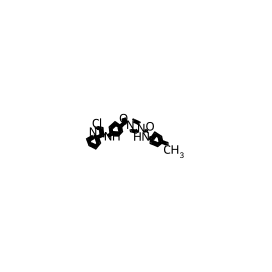 CCc1ccc(NC(=O)N2CCN(C(=O)c3ccc(Nc4cc(Cl)nc5ccccc45)cc3)CC2)cc1